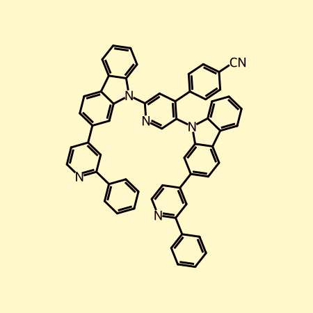 N#Cc1ccc(-c2cc(-n3c4ccccc4c4ccc(-c5ccnc(-c6ccccc6)c5)cc43)ncc2-n2c3ccccc3c3ccc(-c4ccnc(-c5ccccc5)c4)cc32)cc1